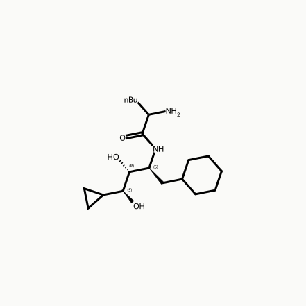 CCCCC(N)C(=O)N[C@@H](CC1CCCCC1)[C@@H](O)[C@@H](O)C1CC1